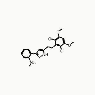 CNc1ccccc1-c1cc(CCc2c(Cl)c(OC)cc(OC)c2Cl)[nH]n1